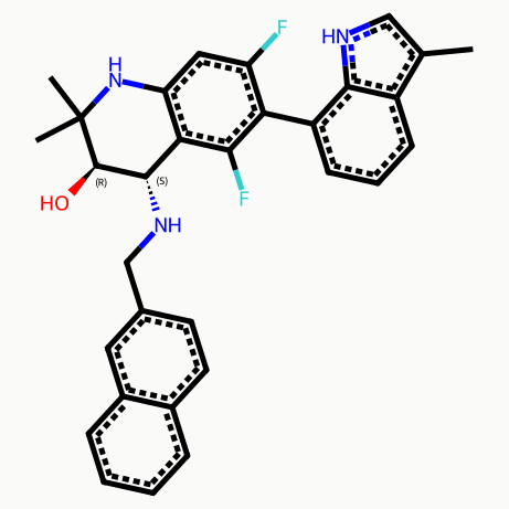 Cc1c[nH]c2c(-c3c(F)cc4c(c3F)[C@H](NCc3ccc5ccccc5c3)[C@@H](O)C(C)(C)N4)cccc12